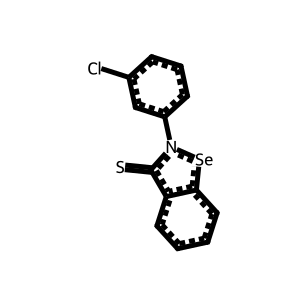 S=c1c2ccccc2[se]n1-c1cccc(Cl)c1